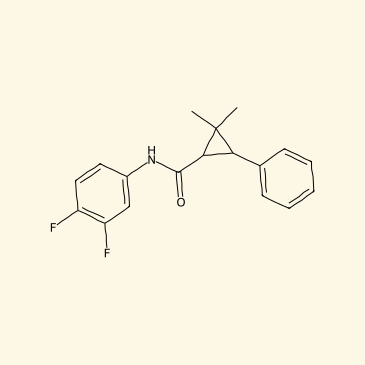 CC1(C)C(C(=O)Nc2ccc(F)c(F)c2)C1c1ccccc1